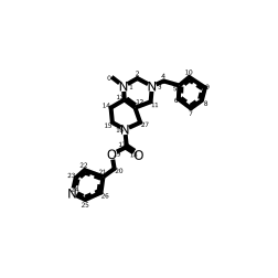 CN1CN(Cc2ccccc2)CC2=C1CCN(C(=O)OCc1ccncc1)C2